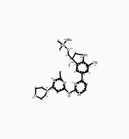 Cc1nc(Nc2nccc(-c3cc(C#N)c4c(c3)[C@@](C)(CO[Si](C)(C)C(C)(C)C)CN4)n2)cc(N2CCOCC2)n1